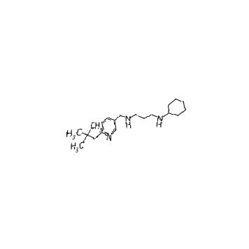 CC(C)(C)Cc1ccc(CNCCCNC2CCCCC2)cn1